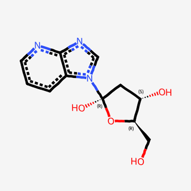 OC[C@H]1O[C@@](O)(n2cnc3ncccc32)C[C@@H]1O